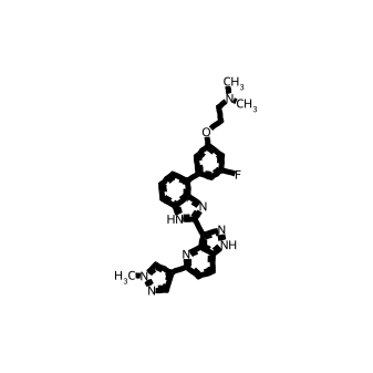 CN(C)CCOc1cc(F)cc(-c2cccc3[nH]c(-c4n[nH]c5ccc(-c6cnn(C)c6)nc45)nc23)c1